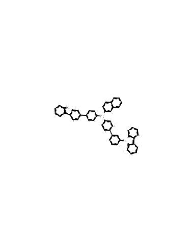 c1cc(-c2ccc(N(c3ccc(-c4ccc5c(c4)oc4ccccc45)cc3)c3ccc4ccccc4c3)cc2)cc(-n2c3ccccc3c3ccccc32)c1